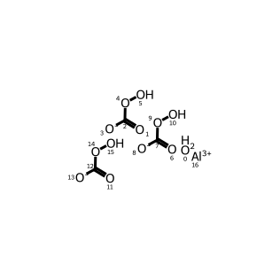 O.O=C([O-])OO.O=C([O-])OO.O=C([O-])OO.[Al+3]